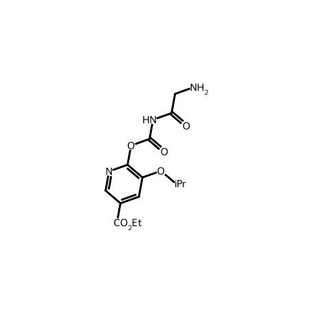 CCOC(=O)c1cnc(OC(=O)NC(=O)CN)c(OC(C)C)c1